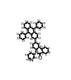 O=c1c2ccccc2c2cc(-c3ccc4c(-c5ccccc5)c5ccccc5c(-c5ccccc5)c4c3)ccc2n1-c1cccnc1